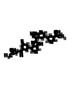 CN(C)CCNc1cc(F)cc(-c2cncc3[nH]c(-c4n[nH]c5ncc(-c6cncc(N(C)C)c6)cc45)nc23)c1